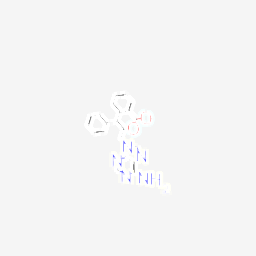 Nc1ncnc2c1ncn2Cc1oc(=O)c2ccccc2c1-c1ccccc1